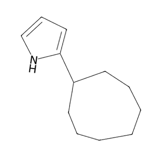 c1c[nH]c(C2CCCCCCC2)c1